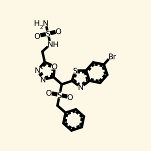 NS(=O)(=O)NCc1nnc(C(c2nc3ccc(Br)cc3s2)S(=O)(=O)Cc2ccccc2)o1